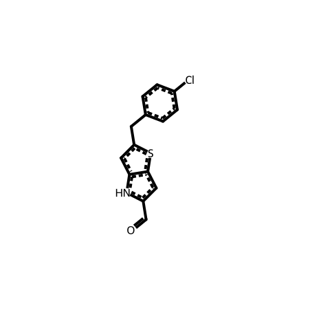 O=Cc1cc2sc(Cc3ccc(Cl)cc3)cc2[nH]1